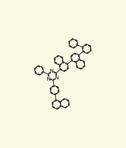 c1ccc(-c2nc(-c3ccc(-c4cccc5ccccc45)cc3)nc(-c3ccc(-c4ccc(-c5ccccc5-c5ccccc5)c5ccccc45)c4ccccc34)n2)cc1